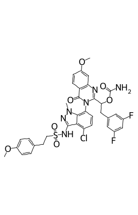 COc1ccc(CCS(=O)(=O)Nc2nn(C)c3c(-n4c(C(Cc5cc(F)cc(F)c5)OC(N)=O)nc5cc(OC)ccc5c4=O)ccc(Cl)c23)cc1